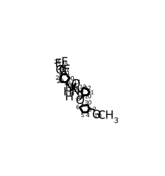 COCc1cccc(Oc2ccccc2NC(=O)Nc2ccc(OC(F)(F)F)cc2)c1